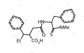 CCC(c1ccccc1)C(CC(=O)NC(Cc1ccccc1)C(=S)NC)C(=O)O